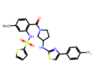 COc1ccc(C(=O)N2CCC(Nc3nc(-c4ccc(C(F)(F)F)cc4)cs3)C2)c(NS(=O)(=O)c2cccs2)c1